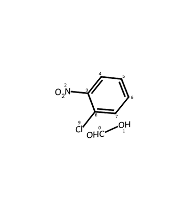 O=CO.O=[N+]([O-])c1ccccc1Cl